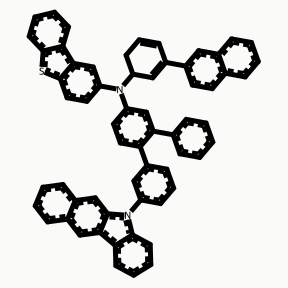 C1=CC(c2ccc3ccccc3c2)=CC(N(c2ccc(-c3cccc(-n4c5ccccc5c5cc6ccccc6cc54)c3)c(-c3ccccc3)c2)c2ccc3sc4ccccc4c3c2)C1